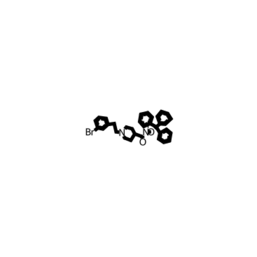 O=C(NOC(c1ccccc1)(c1ccccc1)c1ccccc1)C1CCN(CCc2cccc(Br)c2)CC1